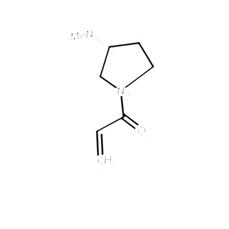 C=CC(=O)N1CC[C@@H](NC)C1